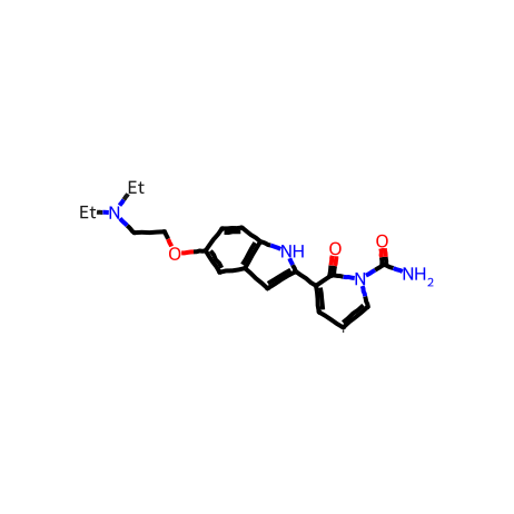 CCN(CC)CCOc1ccc2[nH]c(-c3c[c]cn(C(N)=O)c3=O)cc2c1